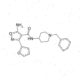 Nc1onc(-c2ccco2)c1C(=O)NC1CCN(Cc2ccccc2)CC1